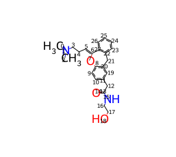 CN(C)CC/C=C1\Oc2ccc(CC(=O)NCCO)cc2Cc2ccccc21